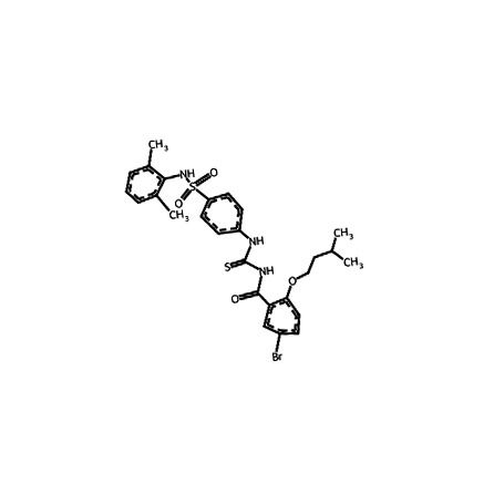 Cc1cccc(C)c1NS(=O)(=O)c1ccc(NC(=S)NC(=O)c2cc(Br)ccc2OCCC(C)C)cc1